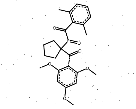 COc1cc(OC)c(C(=O)C2([P](=O)C(=O)c3c(C)cccc3C)CCCC2)c(OC)c1